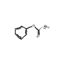 CC[C@@H](C)C(=O)Oc1ccccc1